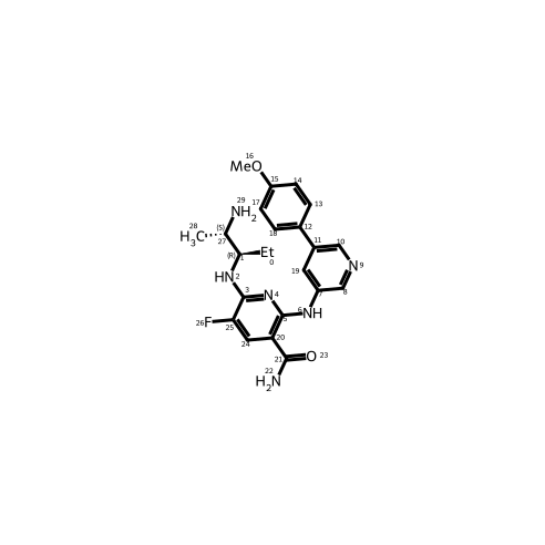 CC[C@@H](Nc1nc(Nc2cncc(-c3ccc(OC)cc3)c2)c(C(N)=O)cc1F)[C@H](C)N